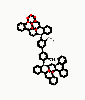 Cc1cc(-c2ccc(N(c3ccc4c5ccccc5c5ccccc5c4c3)c3ccccc3-c3ccc4ccccc4c3)c(C)c2)ccc1N(c1ccc2c3ccccc3c3ccccc3c2c1)c1ccccc1-c1ccc2ccccc2c1